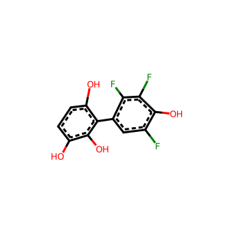 Oc1ccc(O)c(-c2cc(F)c(O)c(F)c2F)c1O